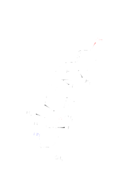 C[C@@H]1CN[C@H]2[C@@H](C)[C@@]3(CC[C@H]4[C@@H]5CCC6=C[C@@H](O)CC[C@]6(C)[C@H]5CC45CC53C)O[C@@H]2C1